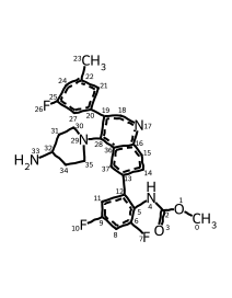 COC(=O)Nc1c(F)cc(F)cc1-c1ccc2ncc(-c3cc(C)cc(F)c3)c(N3CCC(N)CC3)c2c1